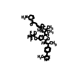 Cc1ncsc1-c1ccc([C@H](C)NC(=O)[C@@H]2C[C@@H](OC(=O)C(F)(F)F)CN2C(=O)[C@@H](NC(=O)CCC(=O)N2CCC[C@@H](N)C2)C(C)(C)C)cc1